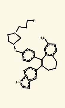 Nc1ccc2c(c1)C(c1ccc(O[C@H]3CCN(CCCF)C3)cc1)=C(c1ccc3[nH]ccc3c1)CCC2